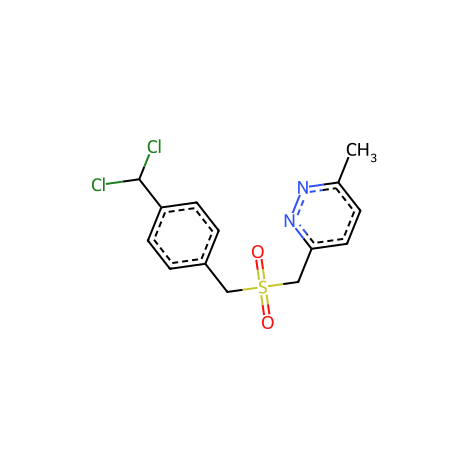 Cc1ccc(CS(=O)(=O)Cc2ccc(C(Cl)Cl)cc2)nn1